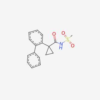 CS(=O)(=O)NC(=O)C1(c2ccccc2-c2ccccc2)CC1